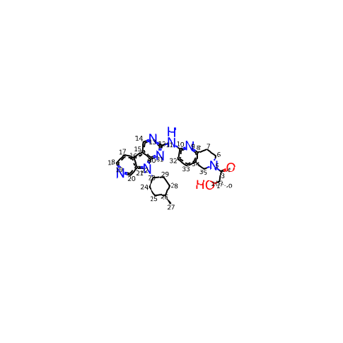 C[C@H](O)C(=O)N1CCc2nc(Nc3ncc4c5ccncc5n([C@H]5CC[C@H](C)CC5)c4n3)ccc2C1